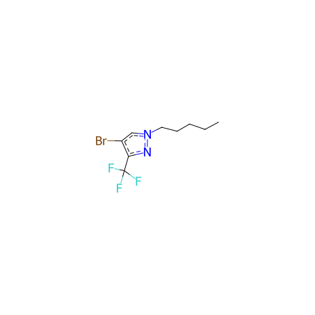 CCCCCn1cc(Br)c(C(F)(F)F)n1